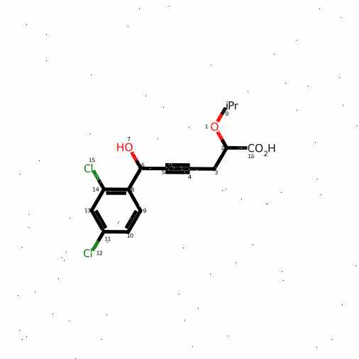 CC(C)OC(CC#CC(O)c1ccc(Cl)cc1Cl)C(=O)O